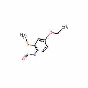 CCOc1ccc(NC=O)c(OC)c1